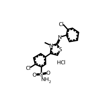 Cl.Cn1c(-c2ccc(Cl)c(S(N)(=O)=O)c2)csc1=Nc1ccccc1Cl